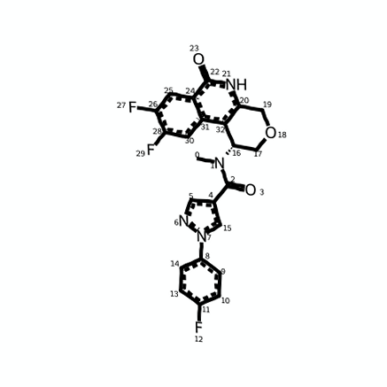 CN(C(=O)c1cnn(-c2ccc(F)cc2)c1)[C@H]1COCc2[nH]c(=O)c3cc(F)c(F)cc3c21